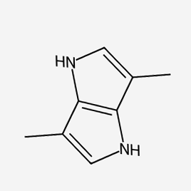 Cc1c[nH]c2c(C)c[nH]c12